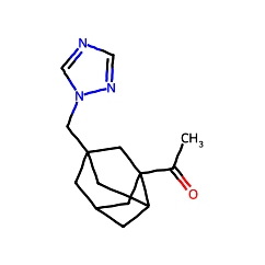 CC(=O)C12CC3CC1CC(Cn1cncn1)(C3)C2